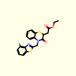 CCOC(=O)CC1Sc2ccccc2N(Cc2nc3c(F)cccc3s2)C1=O